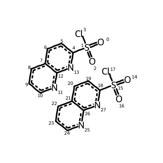 O=S(=O)(Cl)c1ccc2cccnc2n1.O=S(=O)(Cl)c1ccc2cccnc2n1